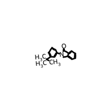 CC(C)(C)c1cccc(N2Cc3ccccc3C2=O)c1